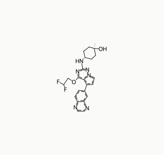 C[C@]1(O)CC[C@H](Nc2nc(OCC(F)F)c3c(-c4ccc5nccnc5c4)ccn3n2)CC1